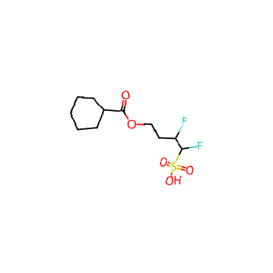 O=C(OCCC(F)C(F)S(=O)(=O)O)C1CCCCC1